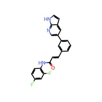 O=C(C=Cc1cccc(-c2cnc3[nH]ccc3c2)c1)Nc1ccc(F)cc1F